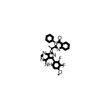 COc1ccc(-c2nn([C@@H](C)c3nc4ccccc4c(=O)n3-c3ccccc3)c3ncnc(N)c23)c(F)c1F